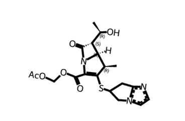 CC(=O)OCOC(=O)C1=C(SC2Cc3nccn3C2)[C@H](C)[C@@H]2[C@@H]([C@@H](C)O)C(=O)N12